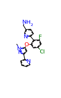 Cn1nc(-c2ccccn2)cc1Oc1cc(Cl)cc(F)c1-c1ccc(CN)cn1